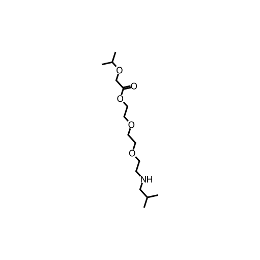 CC(C)CNCCOCCOCCOC(=O)COC(C)C